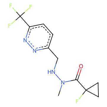 CN(NCc1ccc(C(F)(F)F)nn1)C(=O)C1(F)CC1